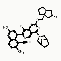 C#Cc1c(C)ccc2nc(O)cc(-c3ncc4c(N5CC6CCC(C5)O6)nc(OC[C@@]56CCCN5C[C@H](F)C6)nc4c3F)c12